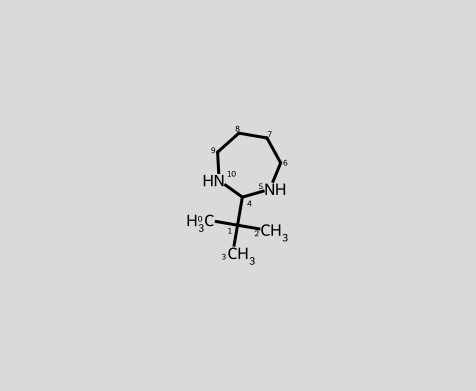 CC(C)(C)C1NCCCCN1